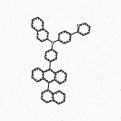 c1ccc(-c2ccc(N(c3ccc(-c4c5ccccc5c(-c5cccc6ccccc56)c5ccccc45)cc3)c3ccc4ccccc4c3)cc2)nc1